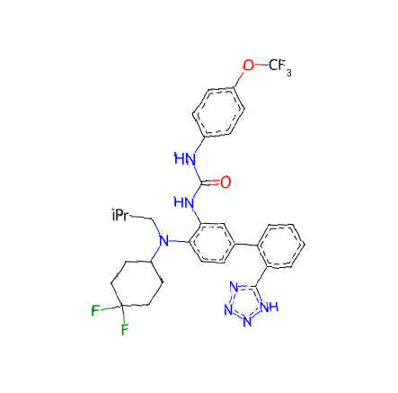 CC(C)CN(c1ccc(-c2ccccc2-c2nnn[nH]2)cc1NC(=O)Nc1ccc(OC(F)(F)F)cc1)C1CCC(F)(F)CC1